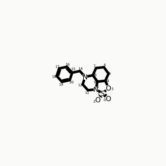 O=S1(=O)OC2CCCC3C2N1CCN3Cc1ccccc1